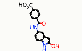 O=C(O)c1ccc(C(=O)Nc2ccc3[nH]c(O)cc3c2)cc1